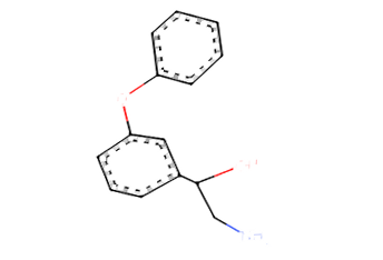 NCC(O)c1cccc(Oc2ccccc2)c1